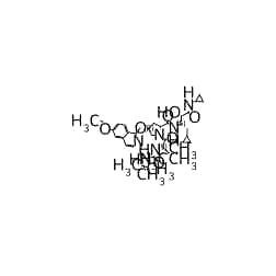 CCOc1ccc2c(O[C@@H]3CC(C(=O)N[C@@H](CC4CC4)C(O)C(=O)NC4CC4)N(C(=O)[C@@H](NC(=O)NC(C)(C)C)C(C)(C)C)C3)nccc2c1